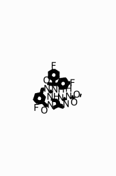 COC(=O)Nc1ncc2c(n1)CN(C(=O)c1cc(CN3C(=N)NC(c4ccc(F)cc4)(c4ccc(F)cc4)C3=O)ccc1F)C2